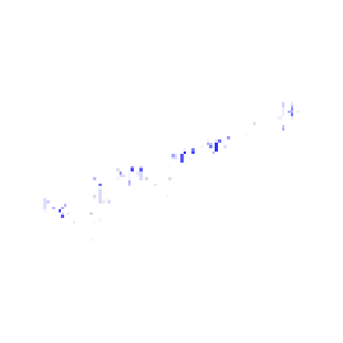 c1ccc(-c2ccc(-c3ccc4c5ccc(-c6ccc(-c7ccc(-c8ccc(-c9cccc(-c%10ccc%11c%12ccccc%12c%12ccc(-c%13cccc(-c%14ccc(-c%15ccnc(-c%16ccc(-c%17ccc%18c%19ccccc%19c%19ccc(-c%20ccc(-c%21ccccn%21)nc%20)cc%19c%18c%17)cn%16)c%15)cn%14)n%13)cc%12c%11c%10)n9)nc8)cn7)nc6)cc5c5ccccc5c4c3)cn2)nc1